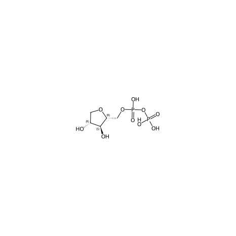 O=P(O)(O)OP(=O)(O)OC[C@H]1OC[C@@H](O)[C@@H]1O